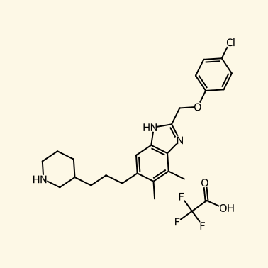 Cc1c(CCCC2CCCNC2)cc2[nH]c(COc3ccc(Cl)cc3)nc2c1C.O=C(O)C(F)(F)F